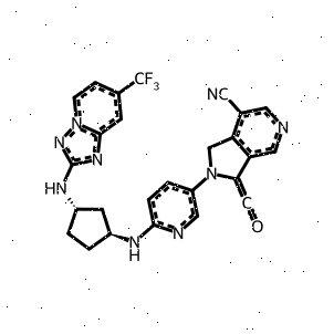 N#Cc1cncc2c1CN(c1ccc(N[C@H]3CC[C@H](Nc4nc5cc(C(F)(F)F)ccn5n4)C3)nc1)C2=C=O